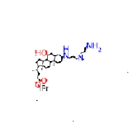 CC(C)OC(=O)CC[C@@H](C)[C@H]1CCC2C3C(CC[C@@]21C)[C@@]1(C)CC[C@H](NCCCN(C)CCCN)CC1C[C@@H]3O